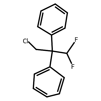 FC(F)C(CCl)(c1ccccc1)c1ccccc1